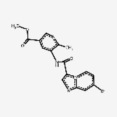 COC(=O)c1cnc(C)c(NC(=O)c2cnc3cc(Br)ccn23)c1